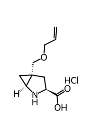 C=CCOC[C@]12C[C@@H](C(=O)O)N[C@H]1C2.Cl